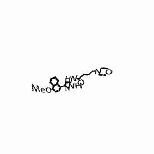 COc1ccc(-c2cc(NC(=O)CCCN3CCOCC3)[nH]n2)c2ccccc12